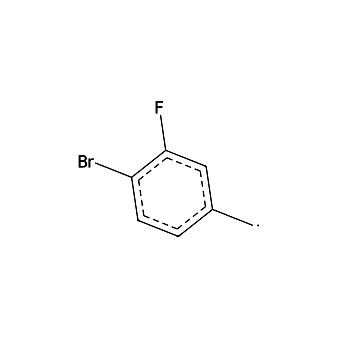 [CH2]c1ccc(Br)c(F)c1